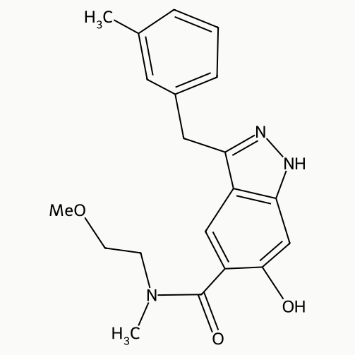 COCCN(C)C(=O)c1cc2c(Cc3cccc(C)c3)n[nH]c2cc1O